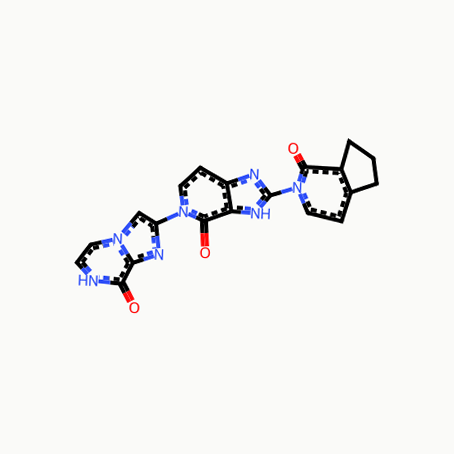 O=c1[nH]ccn2cc(-n3ccc4nc(-n5ccc6c(c5=O)CCC6)[nH]c4c3=O)nc12